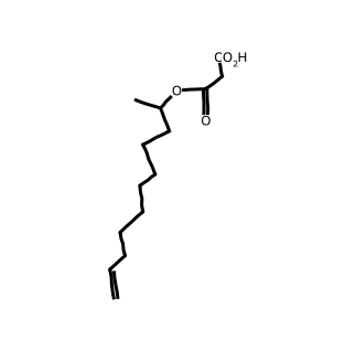 C=CCCCCCCCC(C)OC(=O)CC(=O)O